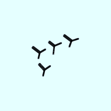 C=C(C)C.C=C(C)C.C=C(C)C.C=C(C)C